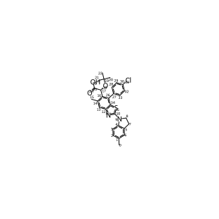 Cc1ccc2c(c1)CCN2c1nc2cc(C)c([C@H](OC(C)(C)C)C(=O)O)c(-c3ccc(Cl)cc3)c2s1